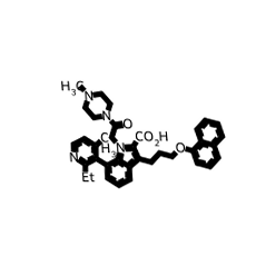 CCc1nccc(C)c1-c1cccc2c(CCCOc3cccc4ccccc34)c(C(=O)O)n(CC(=O)N3CCN(C)CC3)c12